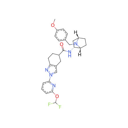 COc1ccc(CN2[C@H]3CC[C@@H]2[C@H](NC(=O)C2CCc4nn(-c5cccc(OC(F)F)n5)cc4C2)C3)cc1